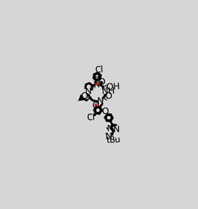 C[C@H]1C(=O)N[C@@H](CO)C(=O)N[C@@]2(Cc3ccc(Cl)cc3)CCCN(C2)C(=O)[C@H](CC2CC2)CC(=O)N1Cc1ccc(Cl)cc1Oc1ccc(-c2cnc(CN(C)C(C)(C)C)n2C)cc1